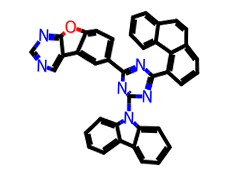 c1ccc2c(c1)ccc1cccc(-c3nc(-c4ccc5oc6ncncc6c5c4)nc(-n4c5ccccc5c5ccccc54)n3)c12